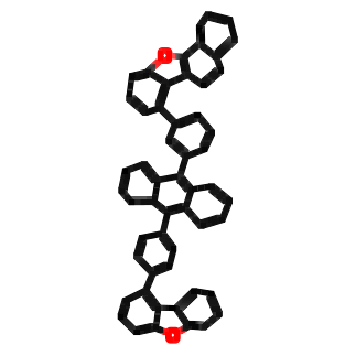 c1cc(-c2c3ccccc3c(-c3ccc(-c4cccc5oc6ccccc6c45)cc3)c3ccccc23)cc(-c2cccc3oc4c5ccccc5ccc4c23)c1